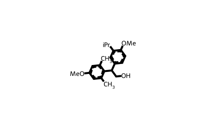 COc1cc(C)c(C(CO)c2ccc(OC)c(C(C)C)c2)c(C)c1